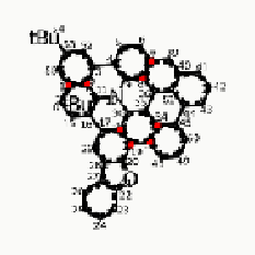 CC(C)(C)c1cc(-c2ccccc2N(c2ccccc2-c2ccc3oc4ccccc4c3c2)c2ccccc2-c2cccc3cccc(-c4ccccc4)c23)cc(C(C)(C)C)c1